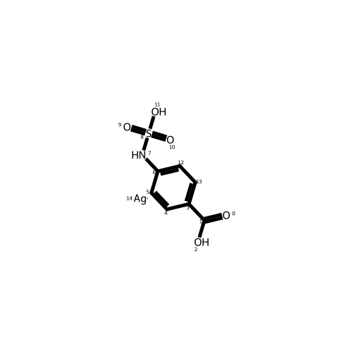 O=C(O)c1ccc(NS(=O)(=O)O)cc1.[Ag]